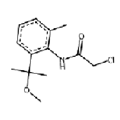 COC(C)(C)c1cccc(C)c1NC(=O)CCl